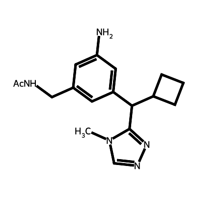 CC(=O)NCc1cc(N)cc(C(c2nncn2C)C2CCC2)c1